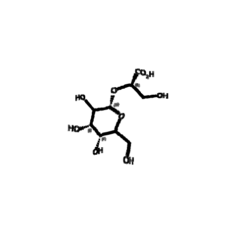 O=C(O)[C@@H](CO)O[C@@H]1OC(CO)[C@H](O)[C@H](O)C1O